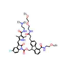 CCCOCCNC(=O)c1cccc2c1-c1ccc(CCC(=O)NCCOCCOCC)cc1C2COC(=O)N1C(=O)/C(=C\c2[nH]c(C)c(C(=O)NCCN(CC)CC)c2C)c2cc(F)ccc21